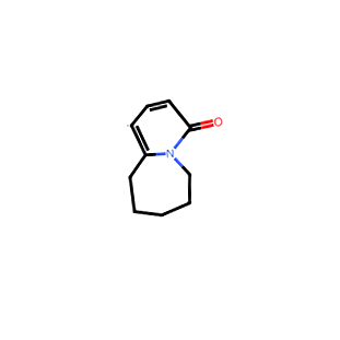 O=c1cc[c]c2n1CCCCC2